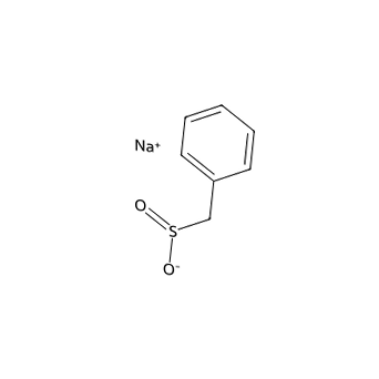 O=S([O-])Cc1ccccc1.[Na+]